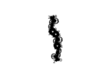 C=C(C)C(=O)OCOc1ccc(OC(=O)c2ccc3cc(OCOC(=O)C(=C)C)ccc3c2)cc1